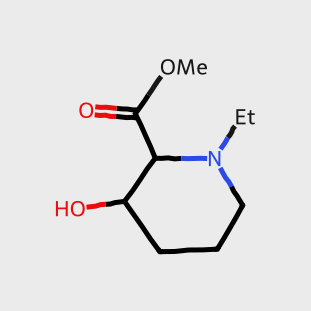 CCN1CCCC(O)C1C(=O)OC